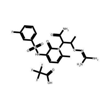 Cc1ccc(NS(=O)(=O)c2cccc(F)c2)c(=O)n1C(C(N)=O)C(C)ON=C(N)N.O=C(O)C(F)(F)F